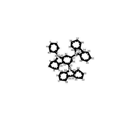 c1ccc(-n2c3ccccc3c3c(-n4c5ccccc5c5ccccc54)cc(-n4c5ccccc5c5ccccc54)cc32)cc1